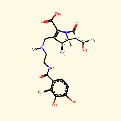 Cc1c(C(=O)NCCN(C)CC2=C(C(=O)O)N3C(=O)[C@H]([C@@H](C)O)[C@H]3[C@H]2C)ccc(O)c1O